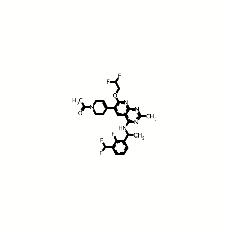 CC(=O)N1CC=C(c2cc3c(NC(C)c4cccc(C(F)F)c4F)nc(C)nc3nc2OCC(F)F)CC1